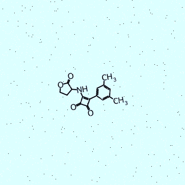 Cc1cc(C)cc(-c2c(NC3CCOC3=O)c(=O)c2=O)c1